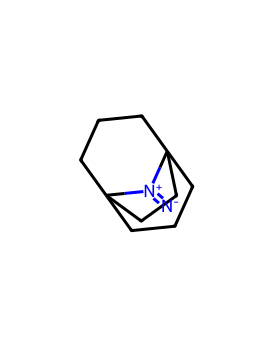 [N-]=[N+]1C23CCCC1(CCC2)CC3